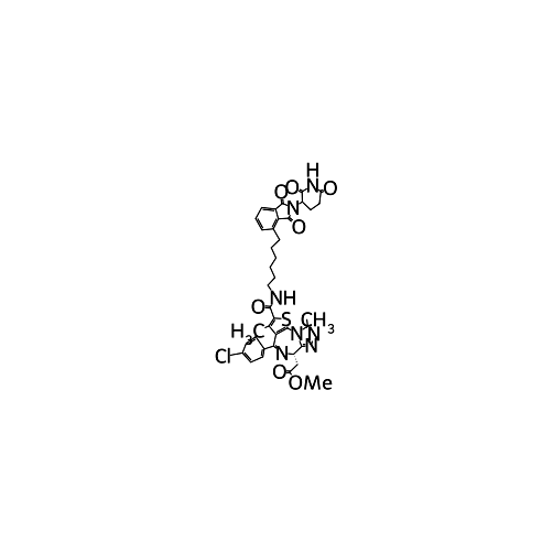 COC(=O)C[C@@H]1N=C(c2ccc(Cl)cc2)c2c(sc(C(=O)NCCCCCCc3cccc4c3C(=O)N(C3CCC(=O)NC3=O)C4=O)c2C)-n2c(C)nnc21